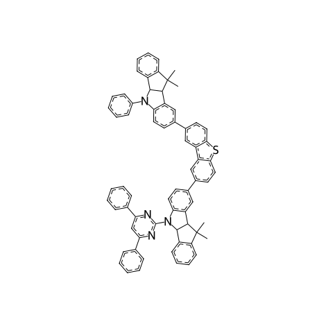 CC1(C)c2ccccc2C2C1c1cc(-c3ccc4sc5ccc(-c6ccc7c(c6)C6C(c8ccccc8C6(C)C)N7c6nc(-c7ccccc7)cc(-c7ccccc7)n6)cc5c4c3)ccc1N2c1ccccc1